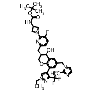 CCn1cc(-c2cc(Cn3ccnc3C)cc3c2OC[C@@H](Cc2ccc(F)c(N4CC(NC(=O)OC(C)(C)C)C4)n2)[C@H]3O)c(C(F)(F)F)n1